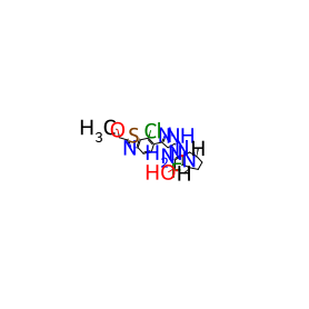 COCc1nc2ccc(-c3n[nH]c4nc(N5[C@H]6CC[C@@H]5[C@@H](F)[C@@H](N)C6)c(CO)nc34)c(Cl)c2s1